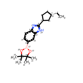 CC[C@H]1CCC(c2nc3ccc(B4OC(C)(C)C(C)(C)O4)cc3[nH]2)C1